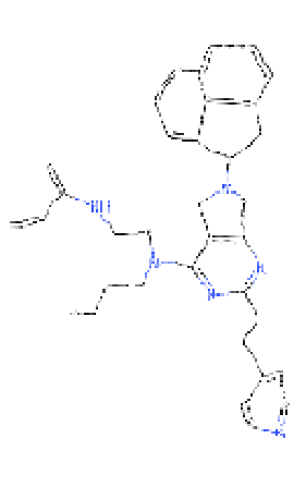 C=CC(=C)NCCN(CCCC)c1nc(CCc2ccncc2)nc2c1CN(C1Cc3cccc4cccc1c34)C2